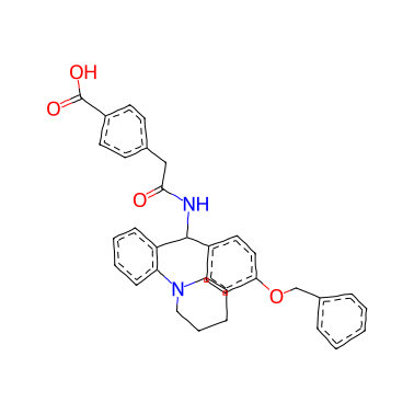 O=C(Cc1ccc(C(=O)O)cc1)NC(c1ccc(OCc2ccccc2)cc1)c1ccccc1N1CCCCC1